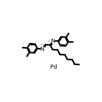 CCCCCCCCC(/C=N/c1ccc(C)c(C)c1)=N\c1ccc(C)c(C)c1.[Pd]